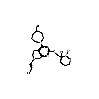 CC/C=C/N1CCc2c(nc(OCC3(CC)CCCSN3CC)nc2N2CCCC(O)CC2)C1